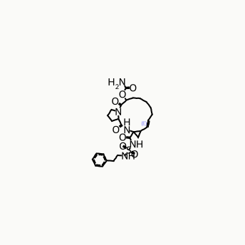 NC(=O)OC1CCCCC/C=C/C2CC2(C(=O)NS(=O)(=O)NCCc2ccccc2)NC(=O)C2CCCN2C1=O